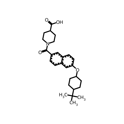 CC(C)(C)C1CCC(Oc2ccc3cc(C(=O)N4CCC(C(=O)O)CC4)ccc3c2)CC1